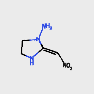 NN1CCNC1=C[N+](=O)[O-]